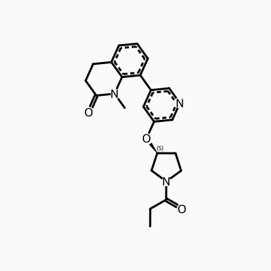 CCC(=O)N1CC[C@H](Oc2cncc(-c3cccc4c3N(C)C(=O)CC4)c2)C1